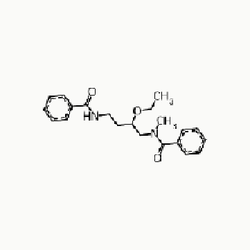 CCOC(CCNC(=O)c1ccccc1)CN(C)C(=O)c1ccccc1